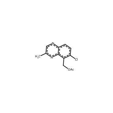 CC(=O)OCc1c(Cl)ccc2ncc(C)nc12